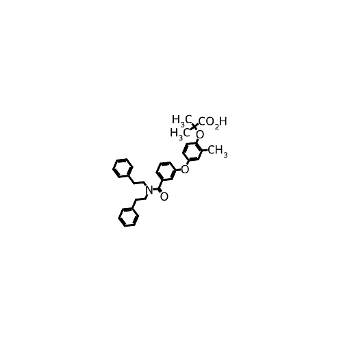 Cc1cc(Oc2cccc(C(=O)N(CCc3ccccc3)CCc3ccccc3)c2)ccc1OC(C)(C)C(=O)O